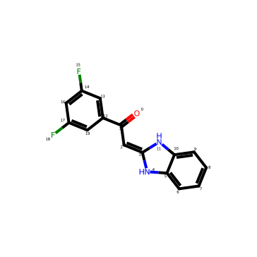 O=C(C=C1Nc2ccccc2N1)c1cc(F)cc(F)c1